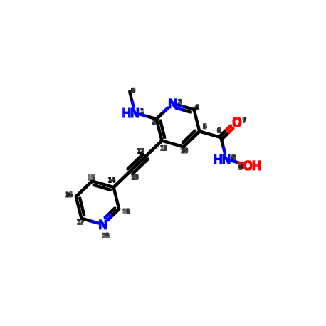 CNc1ncc(C(=O)NO)cc1C#Cc1cccnc1